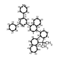 CC1(C)c2cccc(-c3ccc(-c4cc(-c5ccncc5)nc(-c5ccccc5)n4)c4ccccc34)c2-c2ccc3ccccc3c21